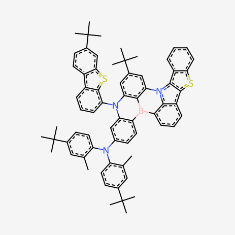 Cc1cc(C(C)(C)C)ccc1N(c1ccc2c(c1)N(c1cccc3c1sc1cc(C(C)(C)C)ccc13)c1cc(C(C)(C)C)cc3c1B2c1cccc2c4sc5ccccc5c4n-3c12)c1ccc(C(C)(C)C)cc1C